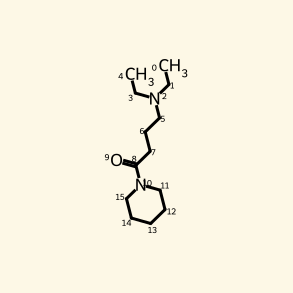 CCN(CC)CCCC(=O)N1CCCCC1